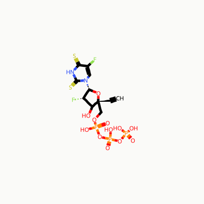 C#C[C@]1(COP(=O)(O)OP(=O)(O)OP(=O)(O)O)O[C@@H](n2cc(F)c(=S)[nH]c2=S)[C@@H](F)C1O